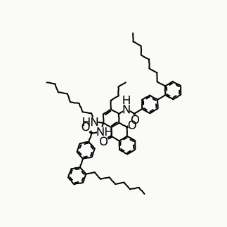 CCCCCCCCNC1(NC(=O)c2ccc(-c3ccccc3CCCCCCCC)cc2)C=C(CCCC)C(NC(=O)c2ccc(-c3ccccc3CCCCCCCC)cc2)C2=C1C(=O)c1ccccc1C2=O